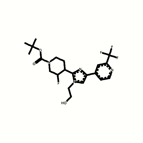 CC(C)(C)OC(=O)N1CCC(c2nc(-c3ccnc(C(F)(F)F)c3)cn2CCO)C(F)C1